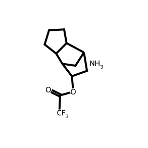 N.O=C(OC1CC2CC1C1CCCC21)C(F)(F)F